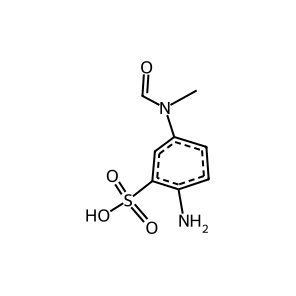 CN(C=O)c1ccc(N)c(S(=O)(=O)O)c1